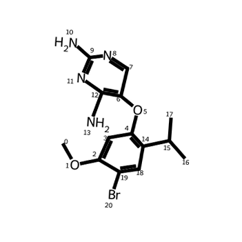 COc1cc(Oc2cnc(N)nc2N)c(C(C)C)cc1Br